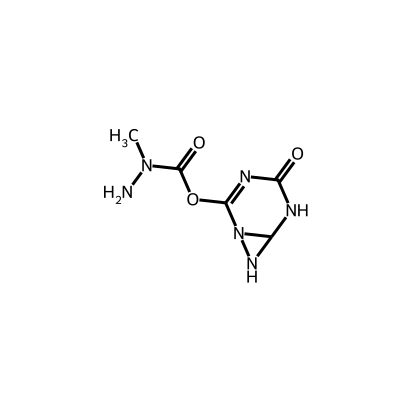 CN(N)C(=O)OC1=NC(=O)NC2NN12